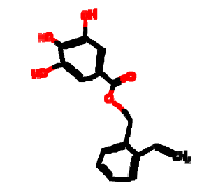 C=Cc1ccccc1COC(=O)c1cc(O)c(O)c(O)c1